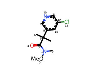 CON(C)C(=O)C(C)(C)c1cncc(Cl)c1